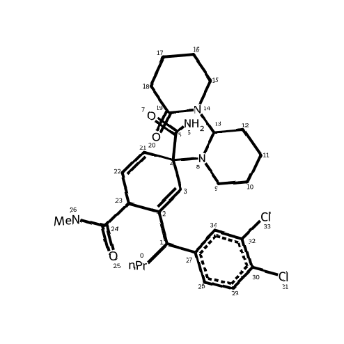 CCCC(C1=CC(C(N)=O)(N2CCCCC2N2CCCCC2=O)C=CC1C(=O)NC)c1ccc(Cl)c(Cl)c1